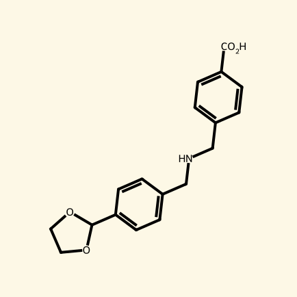 O=C(O)c1ccc(CNCc2ccc(C3OCCO3)cc2)cc1